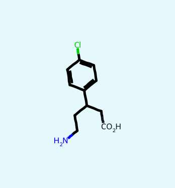 NCCC(CC(=O)O)c1ccc(Cl)cc1